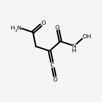 NC(=O)CC(=C=O)C(=O)NO